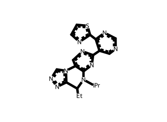 CCC1c2nncn2-c2cnc(-c3cncnc3-c3nccs3)nc2N1C(C)C